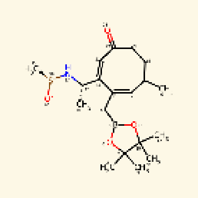 CC1/C=C(CB2OC(C)(C)C(C)(C)O2)\C([C@H](C)N[S@+](C)[O-])=C/C(=O)CC1